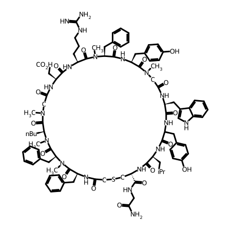 CCCC[C@H]1C(=O)N(C)CC(=O)N[C@@H](CC(=O)O)C(=O)N[C@@H](CCCNC(=N)N)C(=O)N(C)[C@@H](Cc2ccccc2)C(=O)N[C@@H](Cc2ccc(O)cc2)C(=O)N(C)CC(=O)N[C@@H](Cc2c[nH]c3ccccc23)C(=O)NC(Cc2ccc(O)cc2)C(=O)N[C@@H](CC(C)C)C(=O)N[C@H](C(=O)NCC(N)=O)CSCC(=O)N[C@@H](Cc2ccccc2)C(=O)N(C)[C@@H](Cc2ccccc2)C(=O)N1C